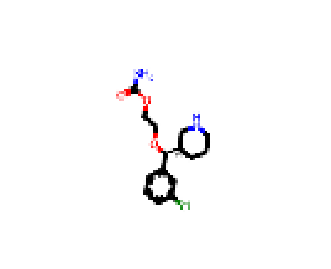 NC(=O)OCCOC(c1cccc(Cl)c1)[C@@H]1CCCNC1